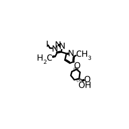 C=Cc1c(-c2ccc(O[C@H]3CCC[C@H](C(=O)O)C3)c(C)n2)nnn1CI